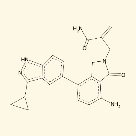 C=C(CN1Cc2c(-c3ccc4[nH]nc(C5CC5)c4c3)ccc(N)c2C1=O)C(N)=O